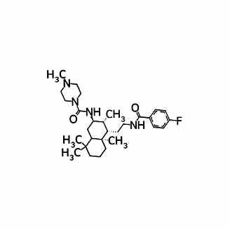 C[C@H]1[C@H](NC(=O)N2CCN(C)CC2)CC2C(C)(C)CCC[C@]2(C)[C@H]1CCNC(=O)c1ccc(F)cc1